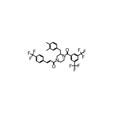 Cc1ccc(CC2CN(C(=O)/C=C/c3ccc(C(F)(F)F)cc3)CCN2C(=O)c2cc(C(F)(F)F)cc(C(F)(F)F)c2)cc1C